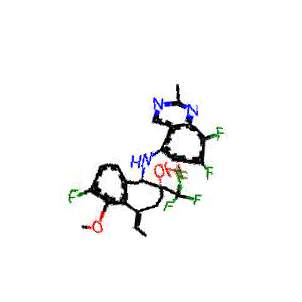 C/C=C1\C[C@](O)(C(F)(F)F)[C@H](Nc2cc(F)c(F)c3nc(C)ncc23)c2ccc(F)c(OC)c21